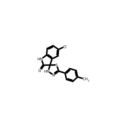 Cc1ccc(C2=NNC3(S2)C(=O)Nc2ccc(Cl)cc23)cc1